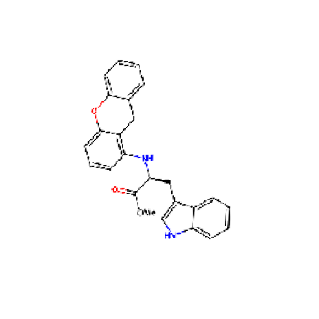 COC(=O)[C@H](Cc1c[nH]c2ccccc12)Nc1cccc2c1Cc1ccccc1O2